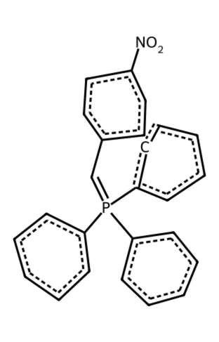 O=[N+]([O-])c1ccc(C=P(c2ccccc2)(c2ccccc2)c2ccccc2)cc1